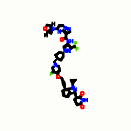 O=C1CCC(c2nn(C3CC3)c3c(C#CCO[C@@H]4CCN(C[C@H]5CC[C@H](n6cc(NC(=O)c7cnn8ccc(N9C[C@H]%10C[C@@H]9CO%10)nc78)c(C(F)F)n6)CC5)C[C@@H]4F)cccc23)C(=O)N1